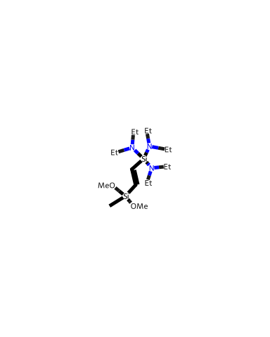 CCN(CC)[Si](C=C[Si](C)(OC)OC)(N(CC)CC)N(CC)CC